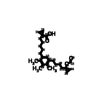 Cc1c(CCCCCC2(C(=O)O)CC2)cc(CCCCC2(OC=O)CC2)c(C)c1C